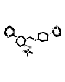 CS(=O)(=O)N[C@H]1CCN(c2ccccn2)C[C@H]1CO[C@H]1CC[C@@H](c2cccnn2)CC1